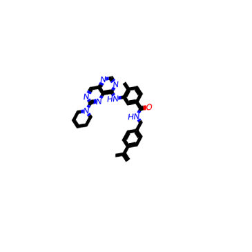 C=C(C)c1ccc(CNC(=O)c2ccc(C)c(Nc3ncnc4cnc(N5CCCCC5)nc34)c2)cc1